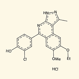 CCOc1cc2c(cc1OC)c(-c1ccc(O)c(Cl)c1)nc1[nH]nc(C)c12.Cl